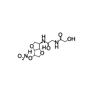 O=C(CO)NCC(=O)N[C@@H]1CO[C@@H]2C(O[N+](=O)[O-])CO[C@@H]21